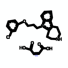 Clc1cccc(OCCCn2c3c(c4ccccc42)CCNCC3)c1.O=C(O)/C=C\C(=O)O